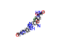 N#Cc1cc(-c2ncnc(Nc3ccc(N4CCN(C5COC5)CC4)cc3)n2)ccc1O[C@H]1CCN(C(=O)C2CC(=O)N2)C[C@H]1F